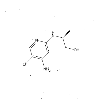 C[C@@H](CO)Nc1cc(N)c(Cl)cn1